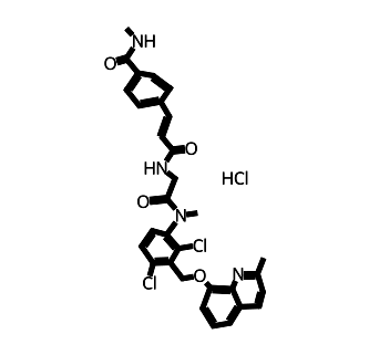 CNC(=O)c1ccc(C=CC(=O)NCC(=O)N(C)c2ccc(Cl)c(COc3cccc4ccc(C)nc34)c2Cl)cc1.Cl